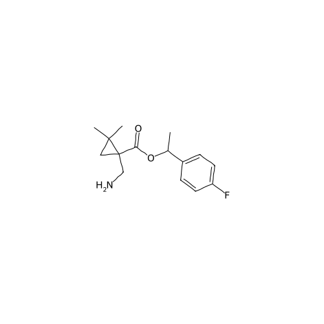 CC(OC(=O)C1(CN)CC1(C)C)c1ccc(F)cc1